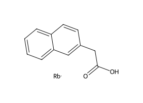 O=C(O)Cc1ccc2ccccc2c1.[Rb]